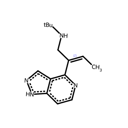 C/C=C(/CNC(C)(C)C)c1nccc2[nH]ncc12